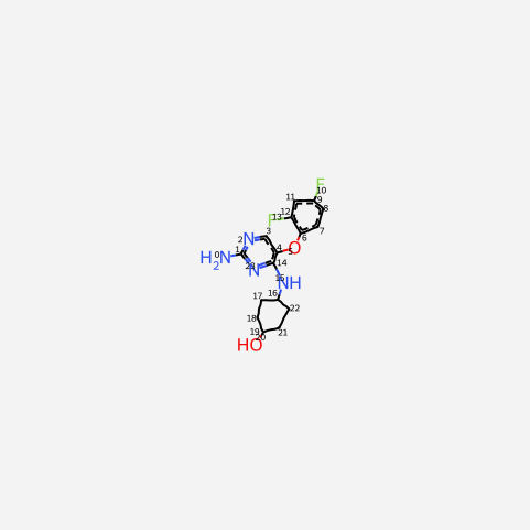 Nc1ncc(Oc2ccc(F)cc2F)c(NC2CCC(O)CC2)n1